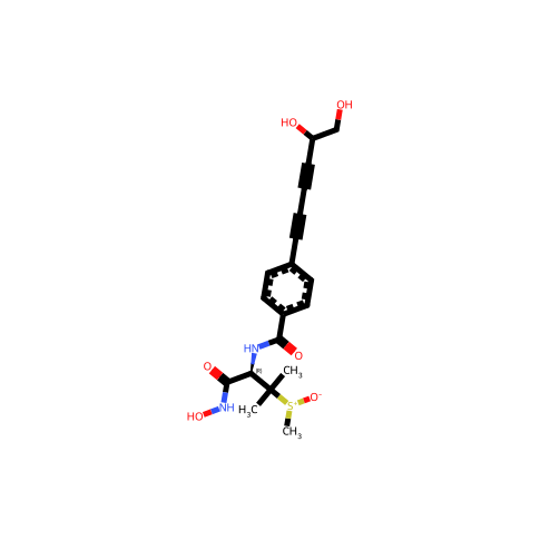 C[S+]([O-])C(C)(C)[C@H](NC(=O)c1ccc(C#CC#CC(O)CO)cc1)C(=O)NO